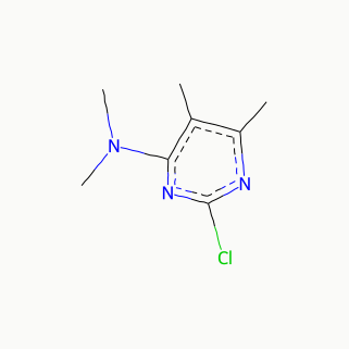 Cc1nc(Cl)nc(N(C)C)c1C